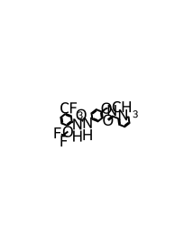 CN(Oc1ccc(NC(=O)Nc2cc(C(F)(F)F)ccc2OC(F)F)cc1)C(=O)c1ccccn1